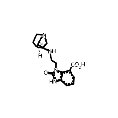 O=C(O)c1cccc2[nH]c(=O)n(CCN[C@@H]3CN4CCC3CC4)c12